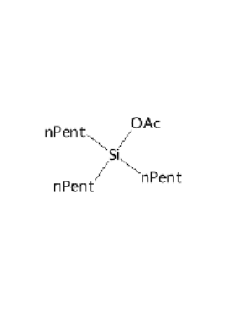 [CH2]C(=O)O[Si](CCCCC)(CCCCC)CCCCC